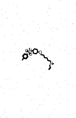 C=CCN(C)CCCCCCOC1CCC(N(C)S(=O)(=O)c2ccc(C)cc2)CC1